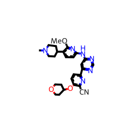 COc1nc(Nc2cc(-c3ccc(OC4CCOCC4)c(C#N)n3)ncn2)ccc1C1CCN(C)CC1